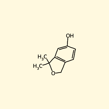 CC1(C)OCc2ccc(O)cc21